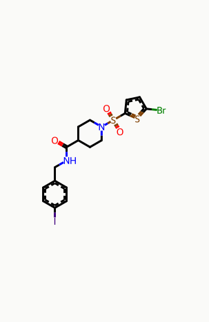 O=C(NCc1ccc(I)cc1)C1CCN(S(=O)(=O)c2ccc(Br)s2)CC1